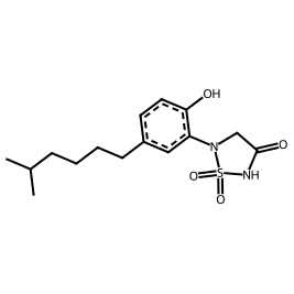 CC(C)CCCCc1ccc(O)c(N2CC(=O)NS2(=O)=O)c1